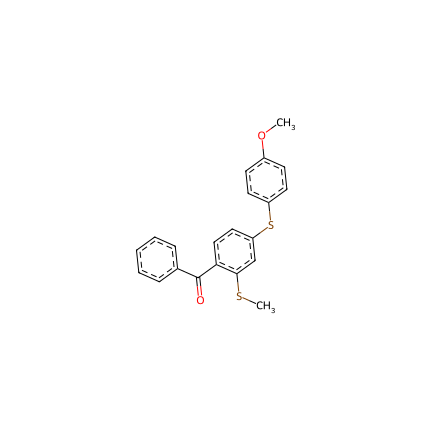 COc1ccc(Sc2ccc(C(=O)c3ccccc3)c(SC)c2)cc1